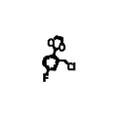 Fc1ccc(C2OC=CO2)c(CCl)c1